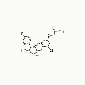 O=C(O)COc1cc(Cl)c(Cc2cc(-c3ccc(F)cc3)c(O)cc2F)c(Cl)c1